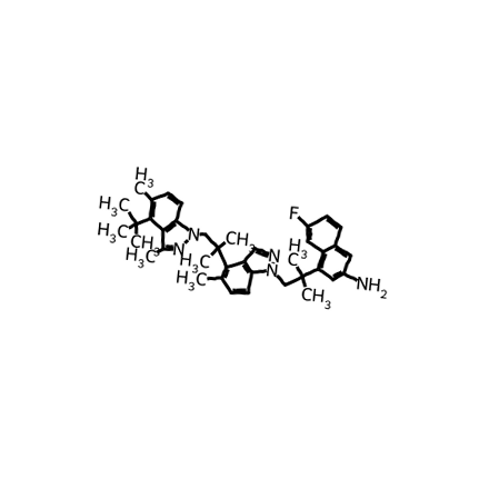 Cc1ccc2c(cnn2CC(C)(C)c2cc(N)cc3ccc(F)cc23)c1C(C)(C)Cn1nc(C)c2c(C(C)(C)C)c(C)ccc21